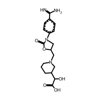 N=C(N)c1ccc(N2CC(CN3CCCC(C(O)C(=O)O)C3)OC2=O)cc1